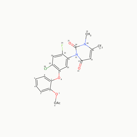 CC(=O)OOc1ccccc1Oc1cc(-n2c(=O)cc(C(F)(F)F)n(C)c2=O)c(F)cc1Cl